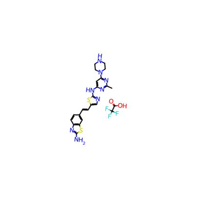 Cc1nc(Nc2ncc(C=Cc3ccc4nc(N)sc4c3)s2)cc(N2CCNCC2)n1.O=C(O)C(F)(F)F